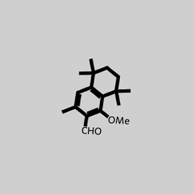 COc1c(C=O)c(C)cc2c1C(C)(C)CCC2(C)C